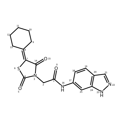 O=C(CN1C(=O)SC(=C2CCCCC2)C1=O)Nc1ccc2cn[nH]c2c1